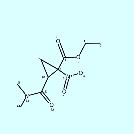 CCOC(=O)C1([N+](=O)[O-])CC1C(=O)N(C)C